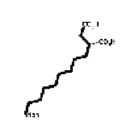 CCCCCCCCCCCCCCCCC[C@H]([CH]C(=O)O)C(=O)O